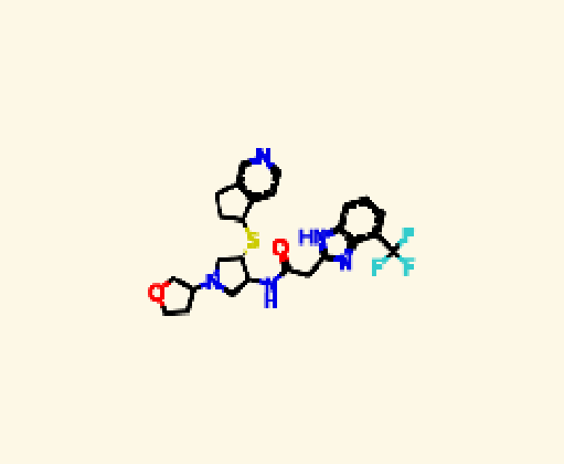 O=C(Cc1nc2c(C(F)(F)F)cccc2[nH]1)NC1CN(C2CCOC2)C[C@@H]1SC1CCc2cnccc21